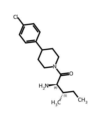 CC[C@H](C)[C@@H](N)C(=O)N1CCC(c2ccc(Cl)cc2)CC1